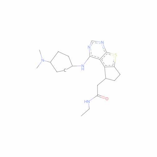 CCNC(=O)CC1CCc2sc3ncnc(NC4CCC(N(C)C)CC4)c3c21